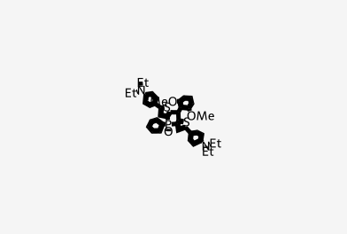 CCN(CC)c1ccc(-c2cc3c(s2)C(c2c(OC)cccc2OC)c2sc(-c4ccc(N(CC)CC)cc4)cc2P3(=O)c2ccccc2)cc1